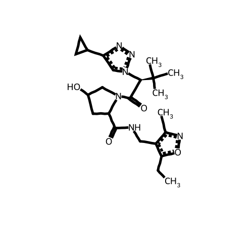 CCc1onc(C)c1CNC(=O)C1CC(O)CN1C(=O)[C@@H](n1cc(C2CC2)nn1)C(C)(C)C